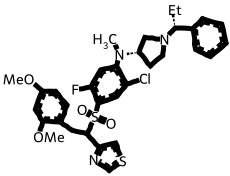 CC[C@H](c1ccccc1)N1CC[C@H](N(C)c2cc(F)c(S(=O)(=O)C(Cc3ccc(OC)cc3OC)c3cscn3)cc2Cl)C1